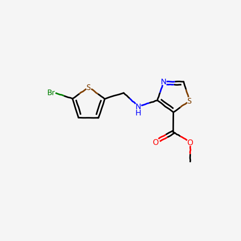 COC(=O)c1scnc1NCc1ccc(Br)s1